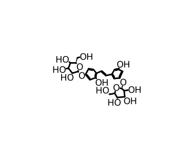 OCC1O[C@@H](Oc2cc(O)cc(/C=C/c3ccc(OC4O[C@H](CO)C(O)C(O)[C@H]4O)cc3O)c2)C(O)C(O)[C@@H]1O